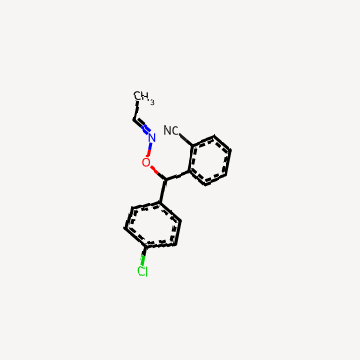 CC=NOC(c1ccc(Cl)cc1)c1ccccc1C#N